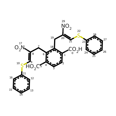 O=C(O)c1ccc(C(=O)O)c(CC(=CSc2ccccc2)[N+](=O)[O-])c1CC(=CSc1ccccc1)[N+](=O)[O-]